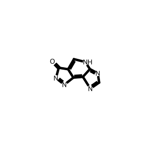 O=C1N=Nc2c1c[nH]c1ncnc2-1